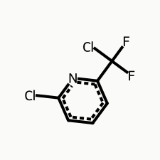 FC(F)(Cl)c1cccc(Cl)n1